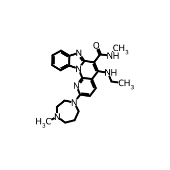 CCNc1c(C(=O)NC)c2nc3ccccc3n2c2nc(N3CCCN(C)CC3)ccc12